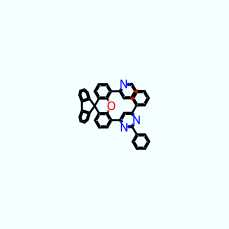 c1ccc(-c2cc(-c3cccc4c3Oc3c(-c5ccccn5)cccc3C43c4ccccc4-c4ccccc43)nc(-c3ccccc3)n2)cc1